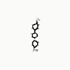 CCCCC[C@H]1CC[C@H](c2ccc(C3=CCC(CCCC)CC3)cc2)CC1